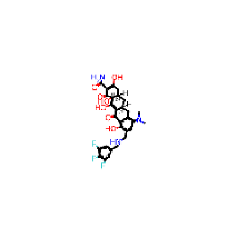 CN(C)c1cc(CNCc2cc(F)c(F)c(F)c2)c(O)c2c1C[C@H]1C[C@H]3CC(O)=C(C(N)=O)C(=O)[C@@]3(O)C(O)=C1C2=O